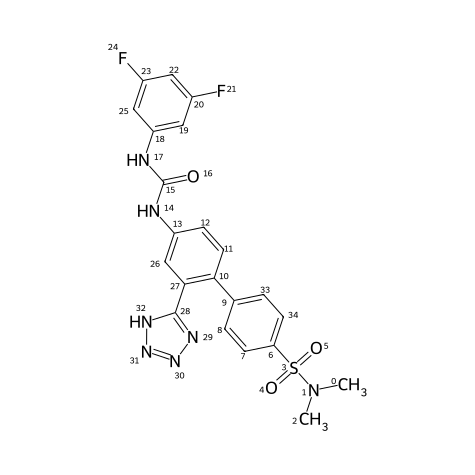 CN(C)S(=O)(=O)c1ccc(-c2ccc(NC(=O)Nc3cc(F)cc(F)c3)cc2-c2nnn[nH]2)cc1